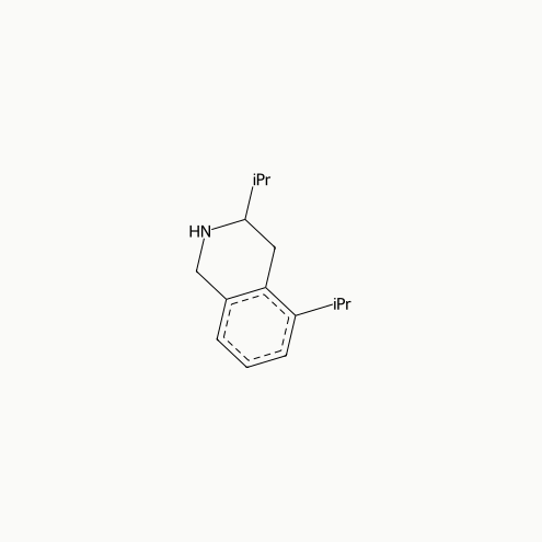 CC(C)c1cccc2c1CC(C(C)C)NC2